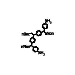 CCCCCCCCCCCC(c1ccc(C(CCCCCCCCC)c2ccc(N)cc2)cc1)c1ccc(C(CCCCCCCCC)c2ccc(N)cc2)cc1